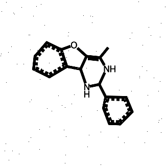 CC1=C2Oc3ccccc3C2NC(c2ccccc2)N1